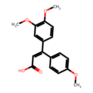 COc1ccc(/C(=C\C(=O)O)c2ccc(OC)c(OC)c2)cc1